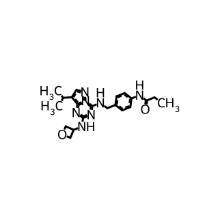 CCC(=O)Nc1ccc(CNc2nc(NC3COC3)nc3c(C(C)C)cnn23)cc1